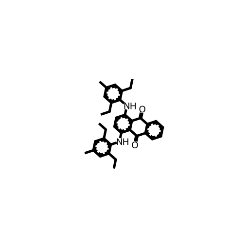 CCc1cc(C)cc(CC)c1Nc1ccc(Nc2c(CC)cc(C)cc2CC)c2c1C(=O)c1ccccc1C2=O